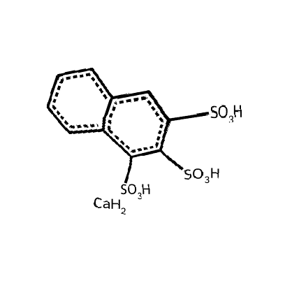 O=S(=O)(O)c1cc2ccccc2c(S(=O)(=O)O)c1S(=O)(=O)O.[CaH2]